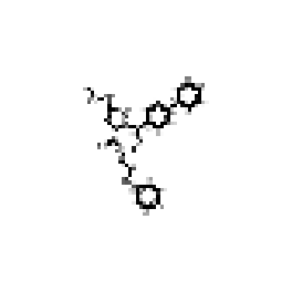 CO/N=C1\C[C@@H](C(=O)NCCNc2ccccc2)N(C(=O)c2ccc(-c3ccccc3)cc2)C1